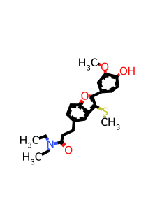 CCN(CC)C(=O)CCc1ccc2oc(-c3ccc(O)c(OC)c3)c(SC)c2c1